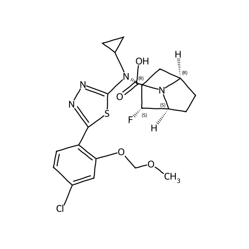 COCOc1cc(Cl)ccc1-c1nnc(N(C2CC2)[C@@H]2C[C@H]3CC[C@@H]([C@@H]2F)N3C(=O)O)s1